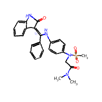 CN(C)C(=O)CN(c1ccc(N/C(=C2\C(=O)Nc3ccccc32)c2ccccc2)cc1)S(C)(=O)=O